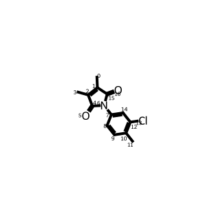 CC1=C(C)C(=O)N(c2ccc(C)c(Cl)c2)C1=O